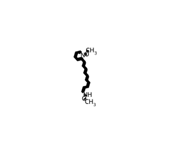 CON/C=C\C=C/C=CC=CC=Cc1cccc[n+]1OC